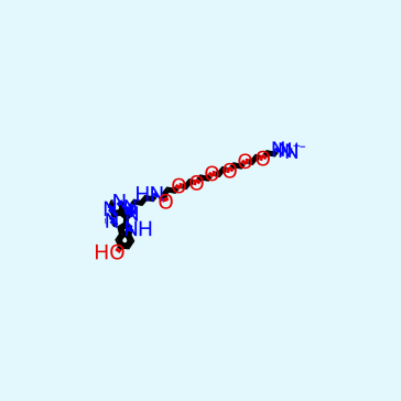 CN(C)c1ncnc2c1c(-c1cc3cc(O)ccc3[nH]1)nn2CCCCNC(=O)CCOCCOCCOCCOCCOCCOCCN=[N+]=[N-]